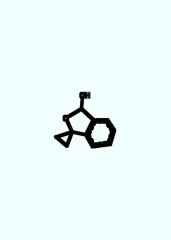 OC1OC2(CC2)c2ccccc21